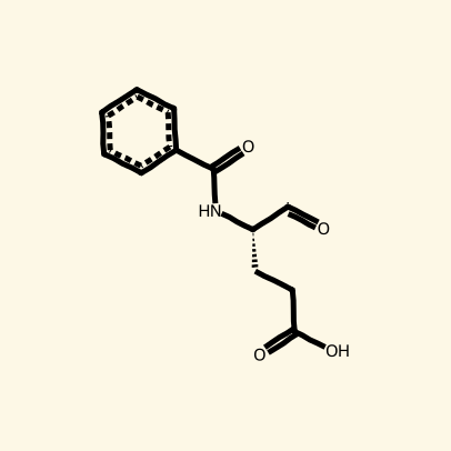 O=[C][C@H](CCC(=O)O)NC(=O)c1ccccc1